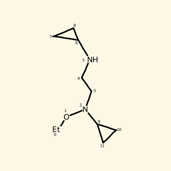 CCON(CCNC1CC1)C1CC1